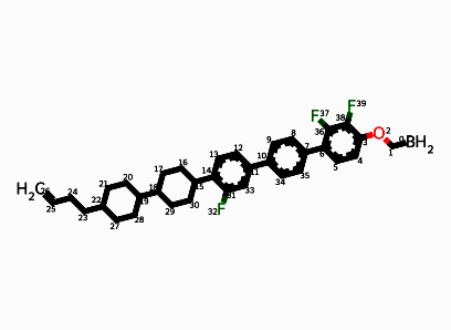 BCOc1ccc(-c2ccc(-c3ccc(C4CCC(C5CCC(CCC=C)CC5)CC4)c(F)c3)cc2)c(F)c1F